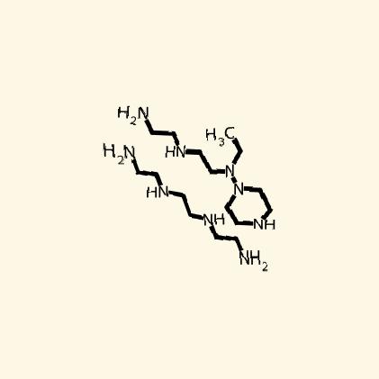 CCN(CCNCCN)N1CCNCC1.NCCNCCNCCN